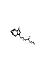 NC(=S)NN=Cc1c[nH]c2ccccc12